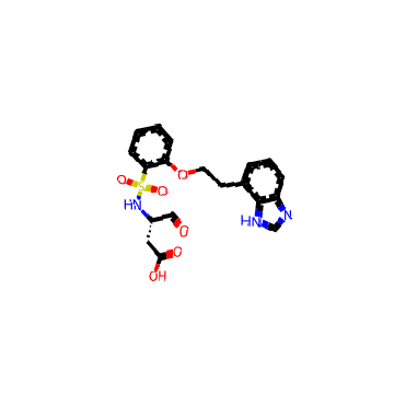 O=C[C@H](CC(=O)O)NS(=O)(=O)c1ccccc1OCCc1cccc2nc[nH]c12